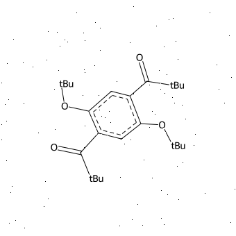 CC(C)(C)Oc1cc(C(=O)C(C)(C)C)c(OC(C)(C)C)cc1C(=O)C(C)(C)C